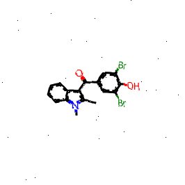 Cc1c(C(=O)c2cc(Br)c(O)c(Br)c2)c2ccccc2n1C